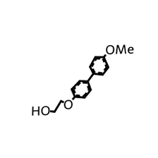 COc1ccc(-c2ccc(OCCO)cc2)cc1